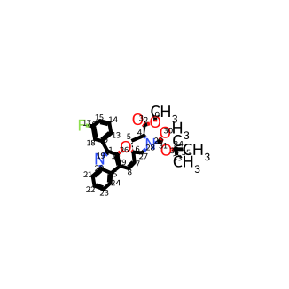 COC(=O)[C@@H]1C[C@@]2(C=Cc3c(c(-c4cccc(F)c4)nc4ccccc34)O2)CN1C(=O)OC(C)(C)C